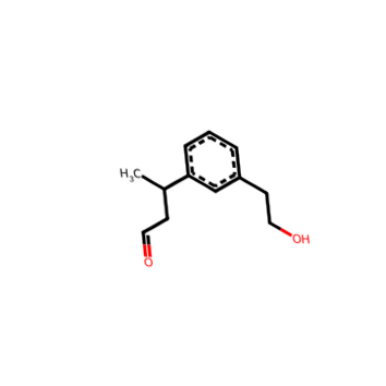 CC(CC=O)c1cccc(CCO)c1